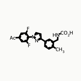 CC(=O)c1cc(F)c(-n2ccc(-c3ccc(C)c(CNC(=O)O)c3)n2)c(F)c1